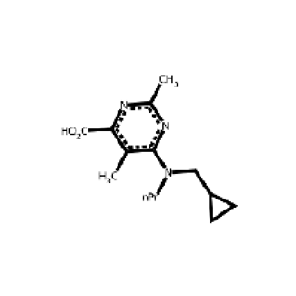 CCCN(CC1CC1)c1nc(C)nc(C(=O)O)c1C